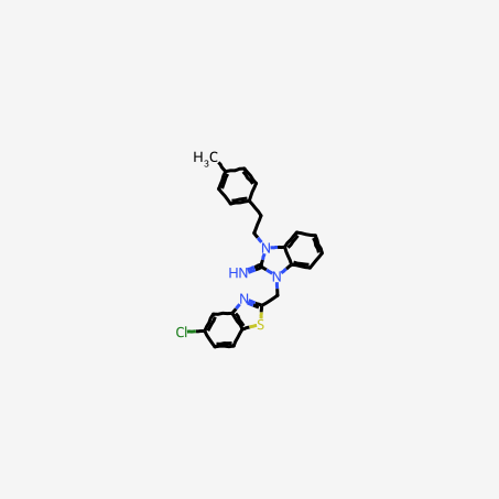 Cc1ccc(CCn2c(=N)n(Cc3nc4cc(Cl)ccc4s3)c3ccccc32)cc1